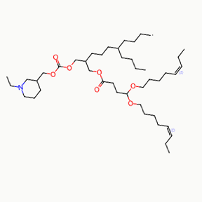 [CH2]CCCC(CCCC)CCCC(COC(=O)CCC(OCCCC/C=C\CC)OCCCC/C=C\CC)COC(=O)OCC1CCCN(CC)C1